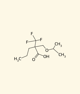 CCCC(COC(C)C)(C(=O)O)C(F)(F)F